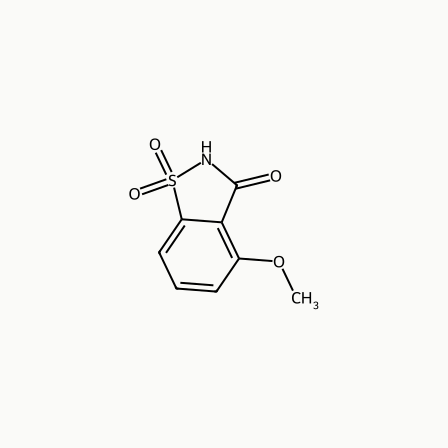 COc1cccc2c1C(=O)NS2(=O)=O